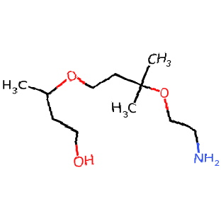 CC(CCO)OCCC(C)(C)OCCN